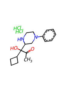 CC(=O)C(O)(C1CCC1)C1CN(c2ccccc2)CCN1.Cl.Cl